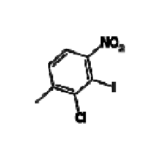 Cc1ccc([N+](=O)[O-])c(I)c1Cl